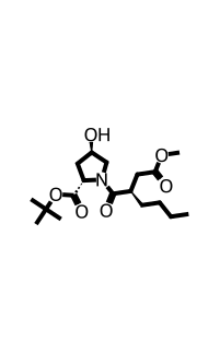 CCCC[C@H](CC(=O)OC)C(=O)N1C[C@H](O)C[C@H]1C(=O)OC(C)(C)C